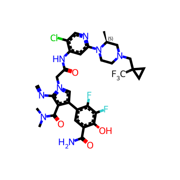 C=Nc1c(C(=O)N(C)C)c(-c2cc(C(N)=O)c(O)c(F)c2F)cn1CC(=O)Nc1cc(N2CCN(CC3(C(F)(F)F)CC3)C[C@@H]2C)ncc1Cl